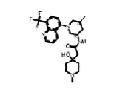 C[C@H]1C[C@@H](NC(=O)CC2(O)CCN(C)CC2)CN(c2ccc(C(F)(F)F)c3ncccc23)C1